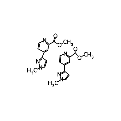 COC(=O)c1cc(-c2ccn(C)n2)ccn1.COC(=O)c1cc(-c2ccn(C)n2)ccn1